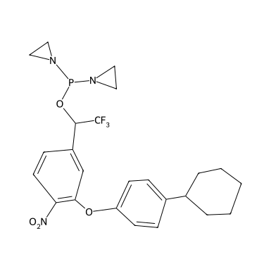 O=[N+]([O-])c1ccc(C(OP(N2CC2)N2CC2)C(F)(F)F)cc1Oc1ccc(C2CCCCC2)cc1